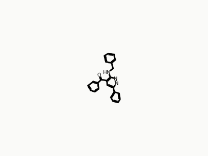 O=C(c1ccccc1)c1cc(-c2ccccc2)nnc1NCc1ccccc1